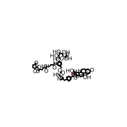 C[C@]12C=CC(=O)C=C1CC[C@@H]1[C@@H]2[C@@H](O)C[C@@]2(C)[C@H]1C[C@H]1OC(c3ccc(Cc4cnc(NC(=O)OCc5ccc(O[C@@H]6O[C@H](C(=O)O)[C@@H](O)[C@H](O)[C@H]6O)c(NC(=O)CCNC(=O)CCC(=O)ON6C(=O)CCC6=O)c5)s4)cc3)O[C@]12C(=O)CO